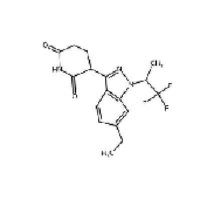 CCc1ccc2c(C3CCC(=O)NC3=O)nn(C(C)C(F)(F)F)c2c1